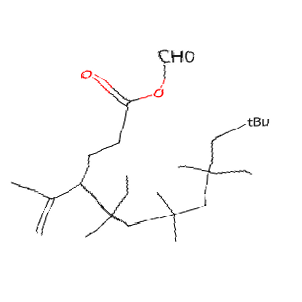 C=C(C)C(CCC(=O)OC=O)C(C)(C)CC(C)(C)CC(C)(C)CC(C)(C)C